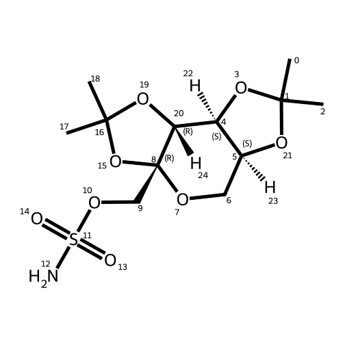 CC1(C)O[C@H]2[C@H](CO[C@]3(COS(N)(=O)=O)OC(C)(C)O[C@H]23)O1